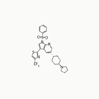 O=S(=O)(c1ccccc1)n1cc(-c2nc(C(F)(F)F)cs2)c2cc([C@H]3CC[C@H](N4CCCC4)CC3)cnc21